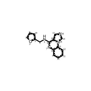 c1coc(CNc2nc3ccccc3n3cncc23)c1